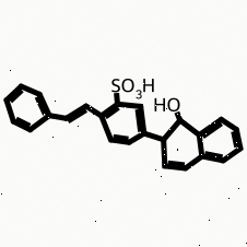 O=S(=O)(O)c1cc(C2C=Cc3ccccc3C2O)ccc1C=Cc1ccccc1